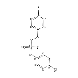 O=S(=O)(CCc1ccc(F)cc1)Cc1ccc(Cl)cc1